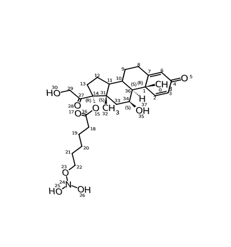 C[C@]12C=CC(=O)C=C1CCC1C3CC[C@](OC(=O)CCCCCON(O)O)(C(=O)CO)[C@@]3(C)C[C@H](O)[C@@H]12